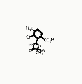 Cc1ccc(C(=O)O)c(C2=NC(C)(C(C)C)C(=O)N2)c1Cl